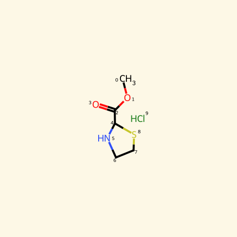 COC(=O)C1NCCS1.Cl